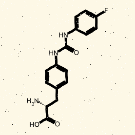 N[C@H](Cc1ccc(NC(=O)Nc2ccc(F)cc2)cc1)C(=O)O